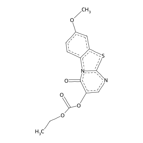 CCOC(=O)Oc1cnc2sc3cc(OC)ccc3n2c1=O